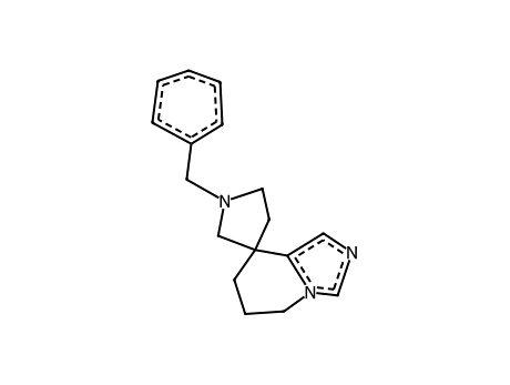 c1ccc(CN2CCC3(CCCn4cncc43)C2)cc1